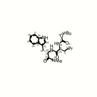 CCCCOC(=O)N[C@@H](CC(C)C)C(=O)N[C@@H](Cc1c[nH]c2ccccc12)C(=O)NC